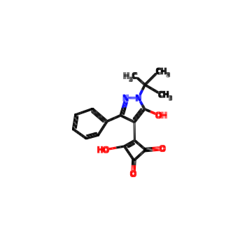 CC(C)(C)n1nc(-c2ccccc2)c(-c2c(O)c(=O)c2=O)c1O